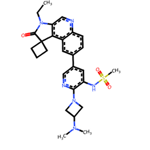 CCN1C(=O)C2(CCC2)c2c1cnc1ccc(-c3cnc(N4CC(N(C)C)C4)c(NS(C)(=O)=O)c3)cc21